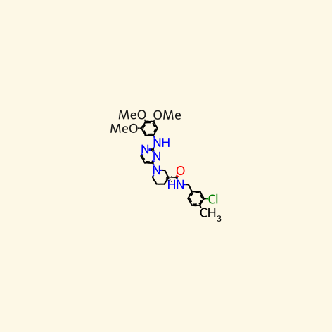 COc1cc(Nc2nccc(N3CCC[C@H](C(=O)NCc4ccc(C)c(Cl)c4)C3)n2)cc(OC)c1OC